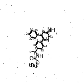 C[C@H](NC(=O)OC(C)(C)C)c1ccc(-c2ncc(N)cc2-c2ccccc2)cc1